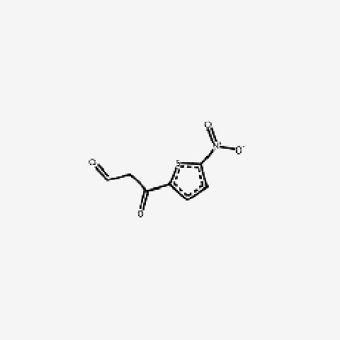 O=CCC(=O)c1ccc([N+](=O)[O-])s1